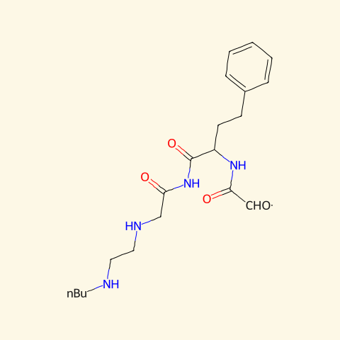 CCCCNCCNCC(=O)NC(=O)C(CCc1ccccc1)NC(=O)[C]=O